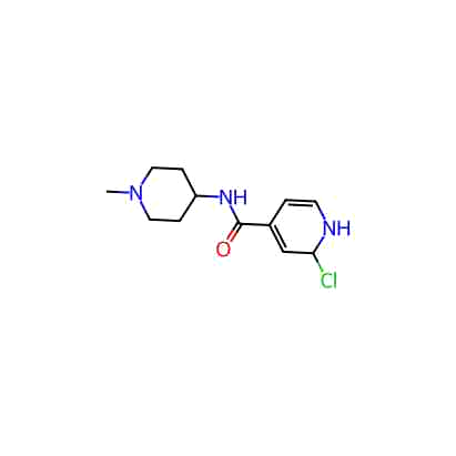 CN1CCC(NC(=O)C2=CC(Cl)NC=C2)CC1